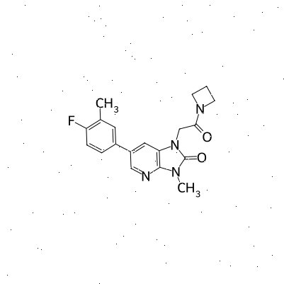 Cc1cc(-c2cnc3c(c2)n(CC(=O)N2CCC2)c(=O)n3C)ccc1F